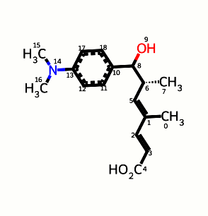 CC(/C=C/C(=O)O)=C\[C@@H](C)C(O)c1ccc(N(C)C)cc1